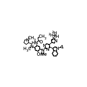 [2H]C([2H])([2H])n1cc(-c2cnc(Nc3cc(NC(=O)C=C)c(N(C)CC4CCCN4C)cc3OC)nc2-c2cn(C3CC3)c3ccccc23)cn1